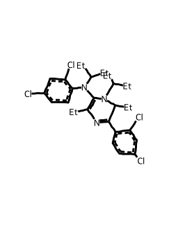 CCC1=C(N(c2ccc(Cl)cc2Cl)C(CC)CC)N(C(CC)CC)C(CC)C(c2ccc(Cl)cc2Cl)=N1